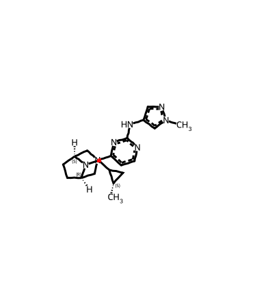 C[C@H]1CC1CN1[C@@H]2CC[C@H]1CN(c1ccnc(Nc3cnn(C)c3)n1)C2